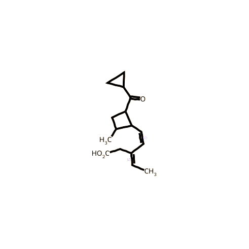 C/C=C(\C=C/C1C(C)CC1C(=O)C1CC1)CC(=O)O